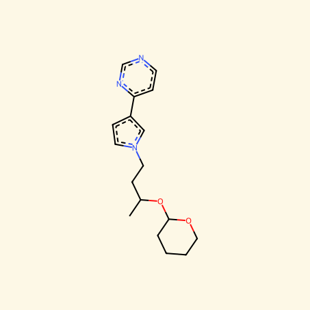 CC(CCn1ccc(-c2ccncn2)c1)OC1CCCCO1